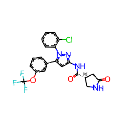 O=C1C[C@@H](C(=O)Nc2cc(-c3cccc(OC(F)(F)F)c3)n(-c3ccccc3Cl)n2)CN1